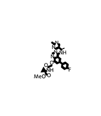 COC(=O)C1(NC(=O)COc2cc(-c3ccc(F)cc3)cc3c(N[C@H](C)c4cnc(C)nc4)ncnc23)CC1